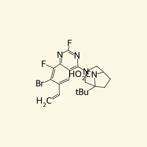 C=Cc1cc2c(N3CC4CCC(C(C)(C)C)(C3)N4C(=O)O)nc(F)nc2c(F)c1Br